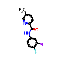 O=C(Nc1ccc(F)c(I)c1)c1ccc(C(F)(F)F)cn1